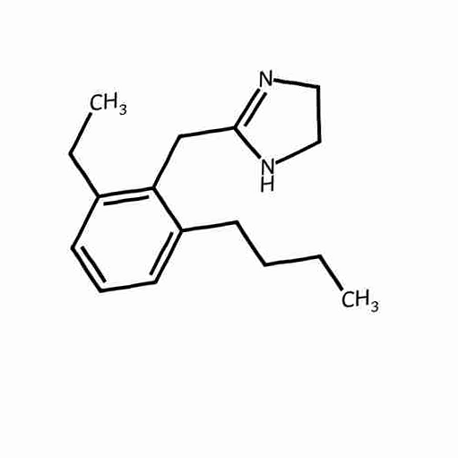 CCCCc1cccc(CC)c1CC1=NCCN1